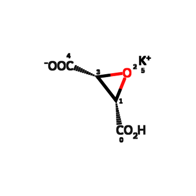 O=C(O)[C@H]1O[C@H]1C(=O)[O-].[K+]